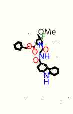 COC[C@@]1(F)C[C@@H](C(=O)OCc2ccccc2)N(C(=O)CNC(=O)c2ccc3[nH]c4ccccc4c3c2)C1